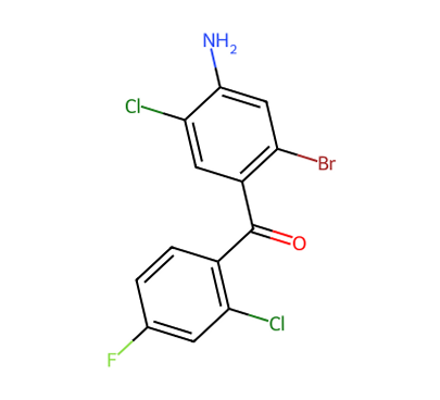 Nc1cc(Br)c(C(=O)c2ccc(F)cc2Cl)cc1Cl